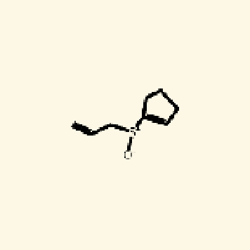 C=CC[S+]([O-])C1=CCCC1